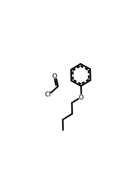 CCCCOc1ccccc1.O=CCl